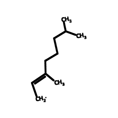 [CH2]/C=C(\C)CCCC(C)C